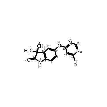 CC1(C)C(=O)Nc2ccc(Oc3cc(Cl)ncn3)cc21